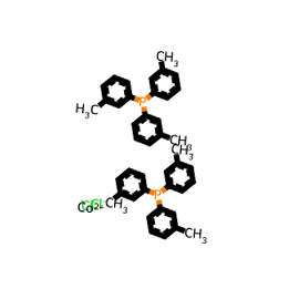 Cc1cccc(P(c2cccc(C)c2)c2cccc(C)c2)c1.Cc1cccc(P(c2cccc(C)c2)c2cccc(C)c2)c1.[Cl-].[Cl-].[Co+2]